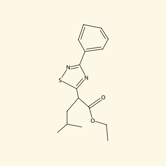 CCOC(=O)C(CC(C)C)c1nc(-c2ccccc2)ns1